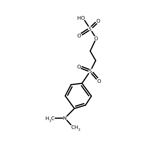 CN(C)c1ccc(S(=O)(=O)CCOS(=O)(=O)O)cc1